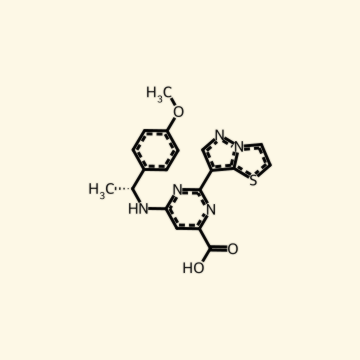 COc1ccc([C@@H](C)Nc2cc(C(=O)O)nc(-c3cnn4ccsc34)n2)cc1